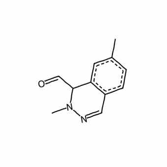 Cc1ccc2c(c1)C(C=O)N(C)N=C2